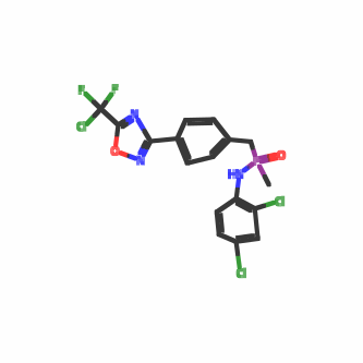 CP(=O)(Cc1ccc(-c2noc(C(F)(F)Cl)n2)cc1)Nc1ccc(Cl)cc1Cl